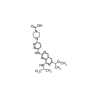 COC(C)c1cc2cnc(Nc3ccc(N4CCN(C(=O)O)CC4)nn3)nc2c(NC(C)C)n1